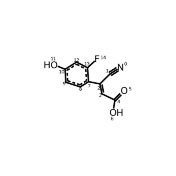 N#CC(=CC(=O)O)c1ccc(O)cc1F